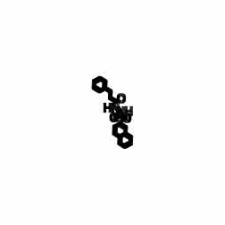 O=C(CCc1ccccc1)NNS(=O)(=O)c1ccc2ccccc2c1